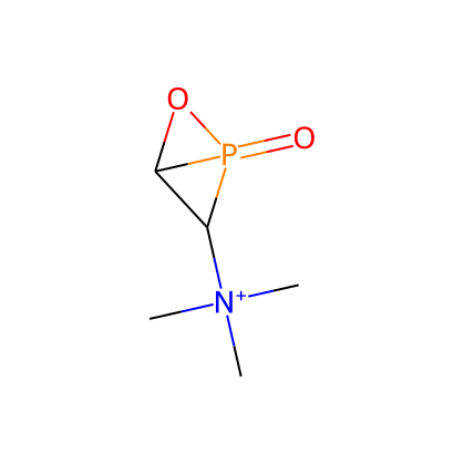 C[N+](C)(C)C1C2OP21=O